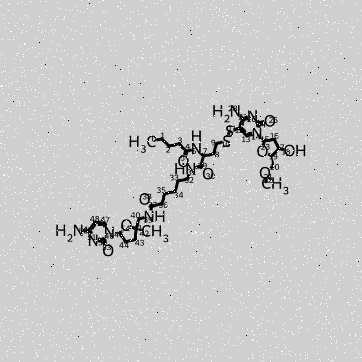 CCCCC(=O)NC(CCSSc1cn([C@H]2CC(O)[C@@H](COC)O2)c(=O)nc1N)C(=O)NCCCCCC(=O)NC[C@]1(C)CC[C@H](n2ccc(N)nc2=O)O1